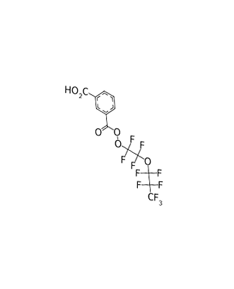 O=C(O)c1cccc(C(=O)OOC(F)(F)C(F)(F)OC(F)(F)C(F)(F)C(F)(F)F)c1